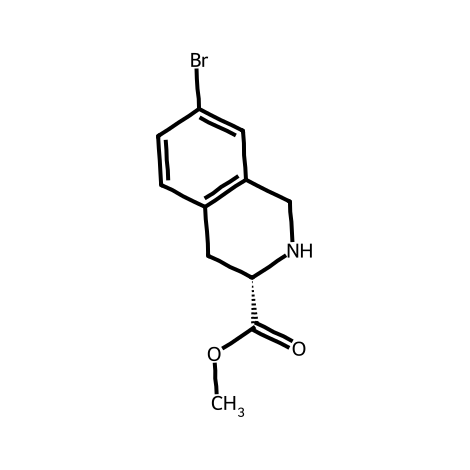 COC(=O)[C@@H]1Cc2ccc(Br)cc2CN1